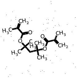 C=C(C)C(=O)OC(C)(C)CC(C)(C)OC(=O)C(=C)C